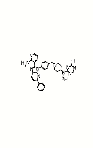 [2H]CN(c1ncnc(Cl)n1)C1CCN(Cc2ccc(-n3c(-c4cccnc4N)nc4ccc(-c5ccccc5)nc43)cc2)CC1